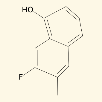 Cc1cc2cccc(O)c2cc1F